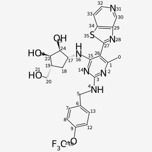 Cc1nc(NCc2ccc(OC(F)(F)F)cc2)nc(N[C@@H]2C[C@H](CO)[C@@H](O)[C@H]2O)c1-c1nc2cnccc2s1